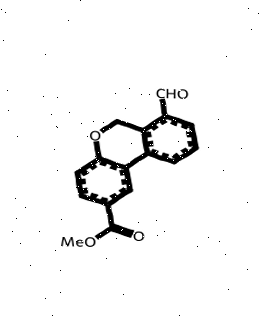 COC(=O)c1ccc2c(c1)-c1cccc(C=O)c1CO2